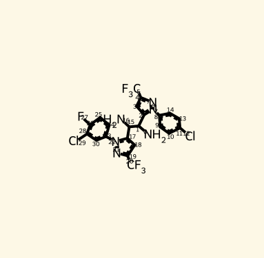 NC(c1cc(C(F)(F)F)nn1-c1ccc(Cl)cc1)C(N)c1cc(C(F)(F)F)nn1-c1ccc(F)c(Cl)c1